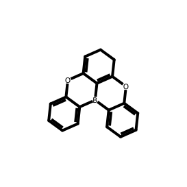 C1=C2Oc3ccccc3B3C2=C(CC1)Oc1ccccc13